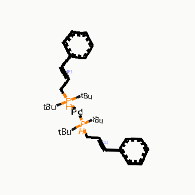 CC(C)(C)[PH](C/C=C/c1ccccc1)([Pd][PH](C/C=C/c1ccccc1)(C(C)(C)C)C(C)(C)C)C(C)(C)C